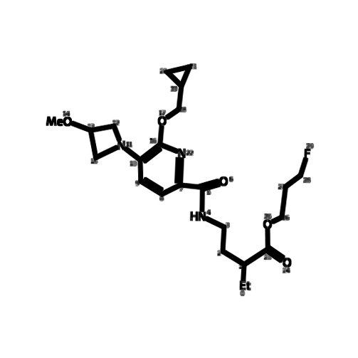 CCC(CCNC(=O)c1ccc(N2CC(OC)C2)c(OCC2CC2)n1)C(=O)OCCCF